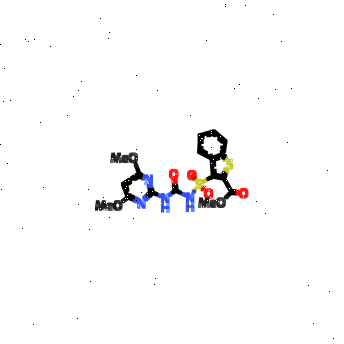 COC(=O)c1sc2ccccc2c1S(=O)(=O)NC(=O)Nc1nc(OC)cc(OC)n1